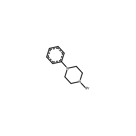 CC(C)N1CCN(c2[c]cccc2)CC1